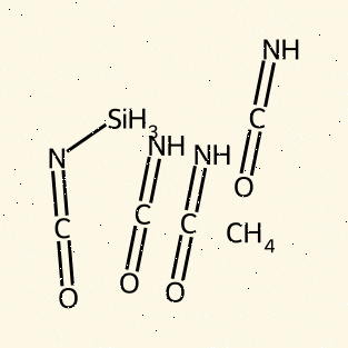 C.N=C=O.N=C=O.N=C=O.O=C=N[SiH3]